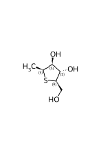 C[C@@H]1S[C@H](CO)[C@@H](O)[C@@H]1O